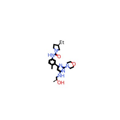 CC[C@@H]1CCN(C(=O)Nc2ccc(C)c(-c3cc(NC[C@H](C)O)nc(N4CCOCC4)n3)c2)C1